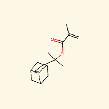 C=C(C)C(=O)OC(C)(C)C1=C2C3CC(C1)CC2C3